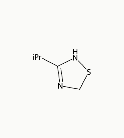 CC(C)C1=NCSN1